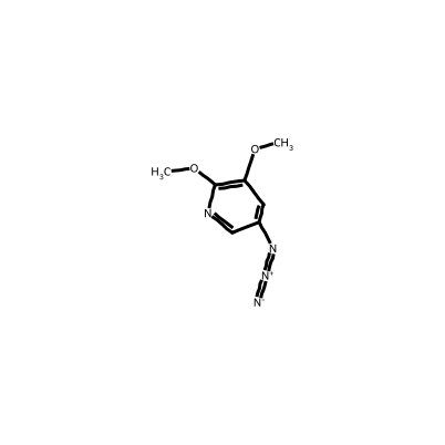 COc1cc(N=[N+]=[N-])cnc1OC